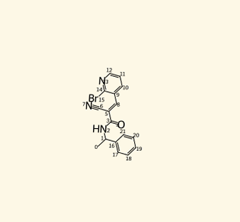 CC(NC(=O)/C(C#N)=C/c1cccnc1Br)c1ccccc1